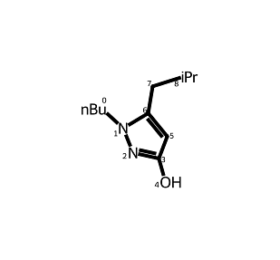 CCCCn1nc(O)cc1CC(C)C